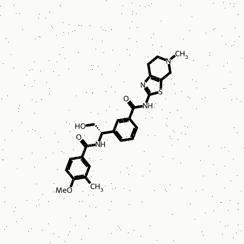 COc1ccc(C(=O)N[C@H](CO)c2cccc(C(=O)Nc3nc4c(s3)CN(C)CC4)c2)cc1C